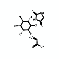 C=CC(=O)O.Cl[C@H]1[C@H](Cl)[C@@H](Cl)[C@@H](Cl)[C@H](Cl)[C@H]1Cl.O=C1CNC(=O)N1